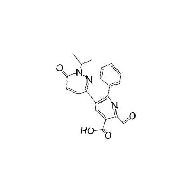 CC(C)n1nc(-c2cc(C(=O)O)c(C=O)nc2-c2ccccc2)ccc1=O